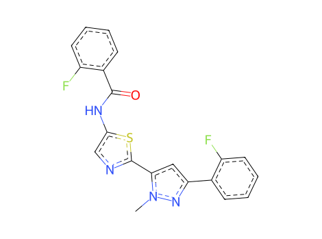 Cn1nc(-c2ccccc2F)cc1-c1ncc(NC(=O)c2ccccc2F)s1